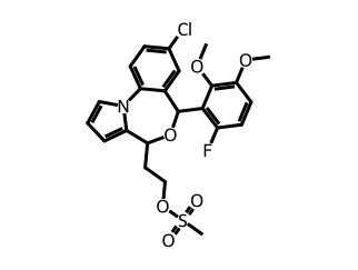 COc1ccc(F)c(C2OC(CCOS(C)(=O)=O)c3cccn3-c3ccc(Cl)cc32)c1OC